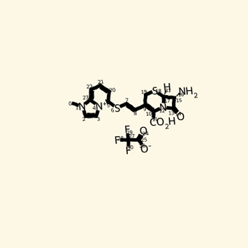 Cn1cc[n+]2c(S/C=C/C3=C(C(=O)O)N4C(=O)[C@@H](N)[C@@H]4SC3)cccc12.O=C([O-])C(F)(F)F